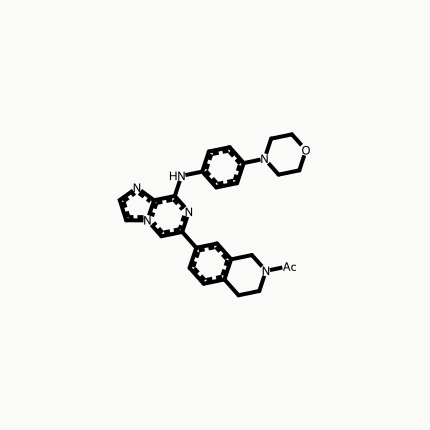 CC(=O)N1CCc2ccc(-c3cn4ccnc4c(Nc4ccc(N5CCOCC5)cc4)n3)cc2C1